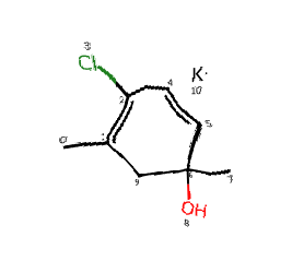 CC1=C(Cl)C=CC(C)(O)C1.[K]